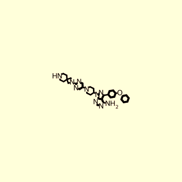 Nc1ncnc2c1c(-c1ccc(Oc3ccccc3)cc1)nn2C1CCN(c2cnc(N3CC4(CCNCC4)C3)nc2)CC1